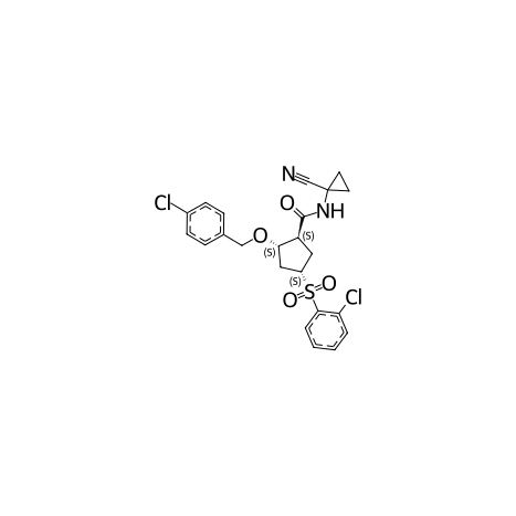 N#CC1(NC(=O)[C@H]2C[C@H](S(=O)(=O)c3ccccc3Cl)C[C@@H]2OCc2ccc(Cl)cc2)CC1